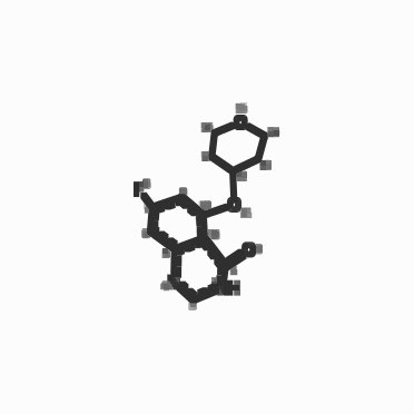 O=c1[nH]cnc2cc(F)cc(OC3CCOCC3)c12